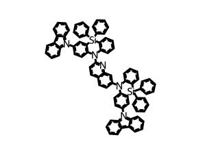 c1ccc([Si]2(c3ccccc3)c3ccccc3N(c3ccc4ccc(N5c6ccccc6[Si](c6ccccc6)(c6ccccc6)c6cc(-n7c8ccccc8c8ccccc87)ccc65)nc4c3)c3ccc(-n4c5ccccc5c5ccccc54)cc32)cc1